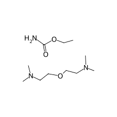 CCOC(N)=O.CN(C)CCOCCN(C)C